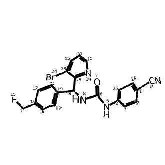 N#Cc1ccc(NC(=O)N[C@@H](c2ccc(CF)cc2)c2ncccc2Br)cc1